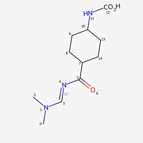 CN(C)/C=N/C(=O)C1CCC(NC(=O)O)CC1